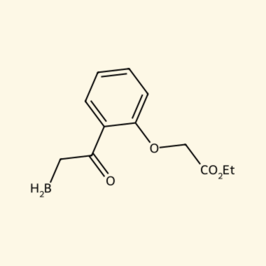 BCC(=O)c1ccccc1OCC(=O)OCC